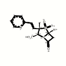 C[C@]1(C=Cc2ccccn2)[C@H](C(=O)O)N2C(=O)C[C@H]2S1(=O)=O